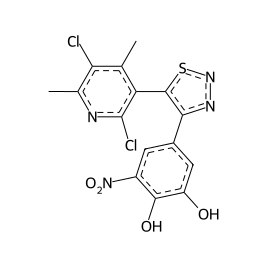 Cc1nc(Cl)c(-c2snnc2-c2cc(O)c(O)c([N+](=O)[O-])c2)c(C)c1Cl